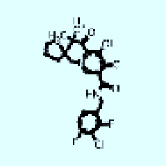 CC1(C)C(=O)c2c(O)c(=O)c(C(=O)NCc3ccc(F)c(Cl)c3F)cn2CC12CCCO2